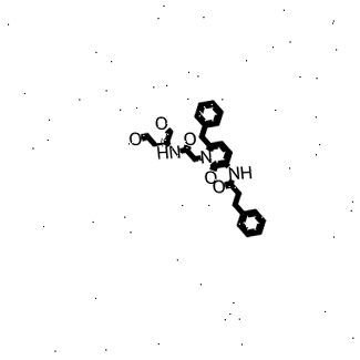 O=CC[C@@H](C=O)NC(=O)Cn1c(Cc2ccccc2)ccc(NC(=O)CCc2ccccc2)c1=O